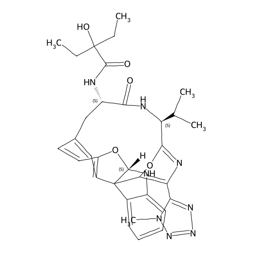 CCC(O)(CC)C(=O)N[C@H]1Cc2ccc3c(c2)C2(c4ccccc4N[C@H]2O3)c2oc(nc2-c2nnnn2C)[C@H](C(C)C)NC1=O